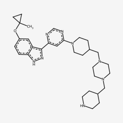 CC1(Oc2ccc3[nH]nc(-c4cc(N5CCC(CN6CCN(CC7CCNCC7)CC6)CC5)ncn4)c3c2)CC1